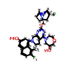 CCc1c(F)ccc2cc(O)cc(N3CCc4c(nc(OC[C@@]56CCCN5C[C@H](F)C6)nc4N4CCOCC(O)C4)C3)c12